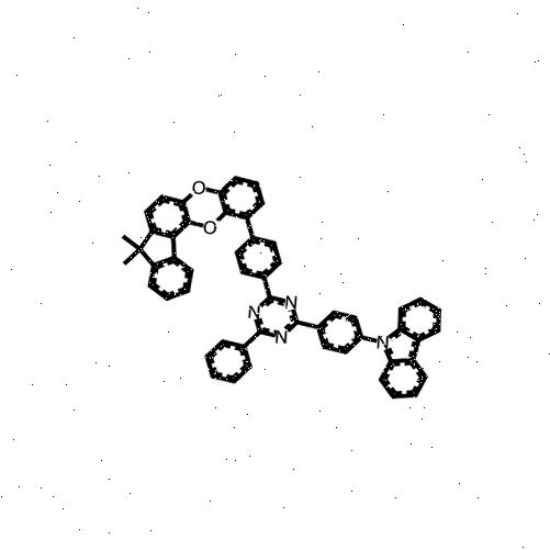 CC1(C)c2ccccc2-c2c1ccc1c2Oc2c(cccc2-c2ccc(-c3nc(-c4ccccc4)nc(-c4ccc(-n5c6ccccc6c6ccccc65)cc4)n3)cc2)O1